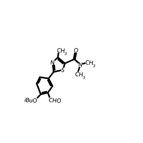 Cc1nc(-c2ccc(OCC(C)C)c(C=O)c2)sc1C(=O)N(C)C